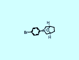 Brc1ccc(N2C[C@H]3CC[C@@H](C2)O3)cc1